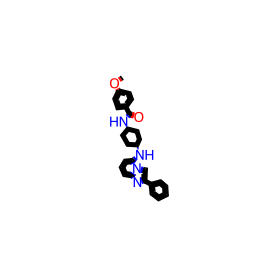 COc1ccc(C(=O)N[C@H]2CC[C@@H](Nc3cccc4nc(-c5ccccc5)cn34)CC2)cc1